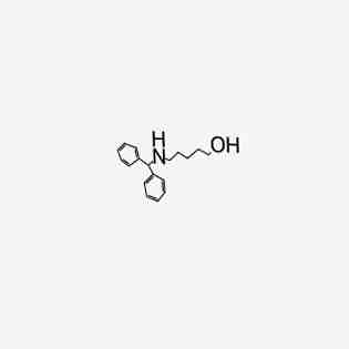 OCCCCCNC(c1ccccc1)c1ccccc1